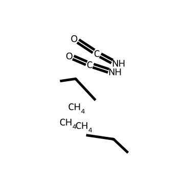 C.C.C.CCC.CCC.N=C=O.N=C=O